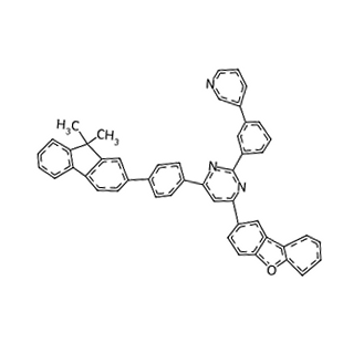 CC1(C)c2ccccc2-c2ccc(-c3ccc(-c4cc(-c5ccc6oc7ccccc7c6c5)nc(-c5cccc(-c6cccnc6)c5)n4)cc3)cc21